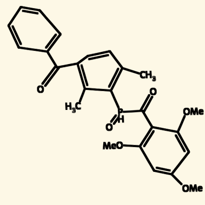 COc1cc(OC)c(C(=O)[PH](=O)c2c(C)ccc(C(=O)c3ccccc3)c2C)c(OC)c1